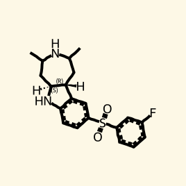 CC1C[C@@H]2Nc3ccc(S(=O)(=O)c4cccc(F)c4)cc3[C@H]2CC(C)N1